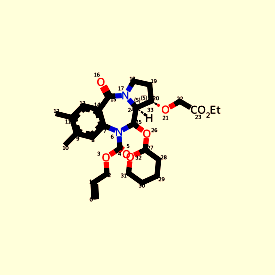 C=CCOC(=O)N1c2cc(C)c(C)cc2C(=O)N2CC[C@H](OCC(=O)OCC)[C@H]2C1OC1CCCCO1